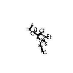 CCSC(=S)N(CC=CCl)CC(=CCl)C1OCCO1